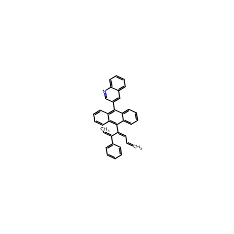 C=C/C=C(\C(=C/C)c1ccccc1)c1c2ccccc2c(-c2cnc3ccccc3c2)c2ccccc12